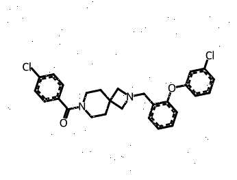 O=C(c1ccc(Cl)cc1)N1CCC2(CC1)CN(Cc1ccccc1Oc1cccc(Cl)c1)C2